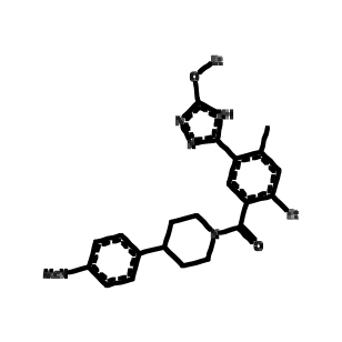 CCOc1nnc(-c2cc(C(=O)N3CCC(c4ccc(NC)cc4)CC3)c(CC)cc2C)[nH]1